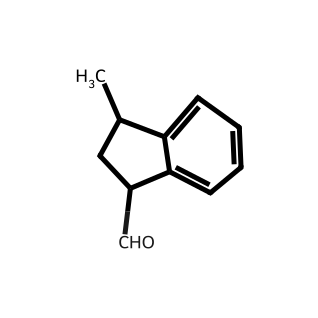 CC1CC(C=O)c2ccccc21